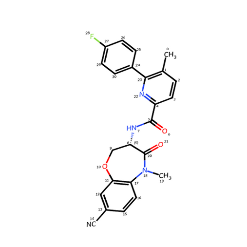 Cc1ccc(C(=O)N[C@H]2COc3cc(C#N)ccc3N(C)C2=O)nc1-c1ccc(F)cc1